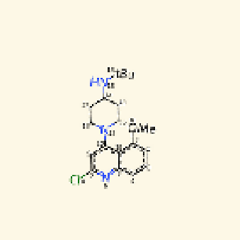 COc1cccc2nc(Cl)cc(N3CCC(NC(C)(C)C)CC3)c12